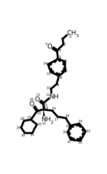 CCCC(=O)c1ccc(CCNC(=O)[C@](N)(CCCc2ccccc2)C(=O)C2CCCCC2)cc1